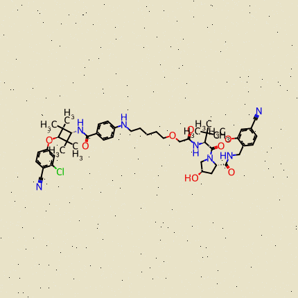 COc1cc(C#N)ccc1CNC(=O)[C@@H]1C[C@@H](O)CN1C(=O)[C@@H](NC(=O)COCCCCCNc1ccc(C(=O)N[C@H]2C(C)(C)[C@H](Oc3ccc(C#N)c(Cl)c3)C2(C)C)cc1)C(C)(C)C